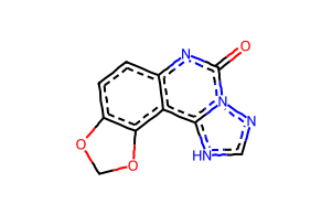 O=c1nc2ccc3c(c2c2[nH]cnn12)OCO3